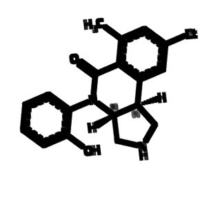 CCc1cc(C)c2c(c1)[C@H]1CNC[C@@H]1N(c1ccccc1O)C2=O